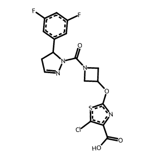 O=C(O)c1nc(OC2CN(C(=O)N3N=CCC3c3cc(F)cc(F)c3)C2)sc1Cl